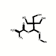 C=C(C)C(=O)OC(OOC(C)C)C(CO)(CO)CO